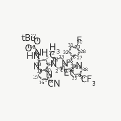 CC[C@@H]1CN(c2cc(NNC(=O)OC(C)(C)C)nc3ccc(C#N)nc23)[C@@H](C)CN1C(c1ccc(F)cc1)c1ccc(C(F)(F)F)cn1